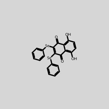 O=C1C([Se]c2ccccc2)=C([Se]c2ccccc2)C(=O)c2c(O)ccc(O)c21